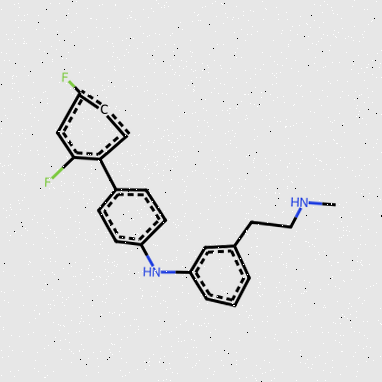 CNCCc1cccc(Nc2ccc(-c3ccc(F)cc3F)cc2)c1